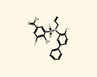 C=CCN(c1cc(-c2ccccc2)ccc1F)S(=O)(=O)c1cc(C(=O)O)cc(Cl)c1O